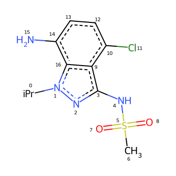 CC(C)n1nc(NS(C)(=O)=O)c2c(Cl)ccc(N)c21